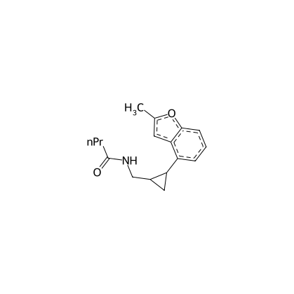 CCCC(=O)NCC1CC1c1cccc2oc(C)cc12